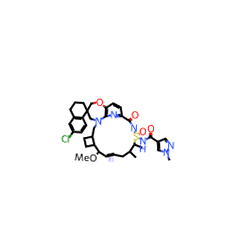 COC1/C=C/CC(C)C(C)S(=O)(NC(=O)c2cnn(C)c2)=NC(=O)c2ccc3c(n2)N(CC2CCC21)CC1(CCCc2cc(Cl)ccc21)CO3